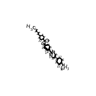 CCCCCC1CCC(C(=O)Oc2ccc(-c3ncc([C@H]4CC[C@H](CC)CC4)cn3)cc2)CC1